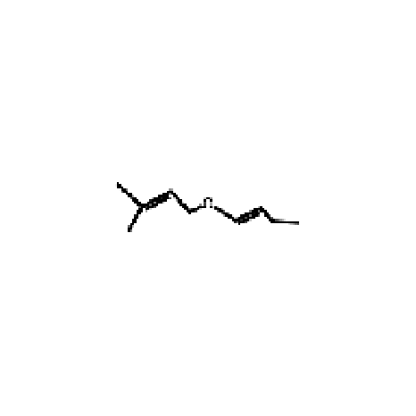 CCC=COCC=C(C)C